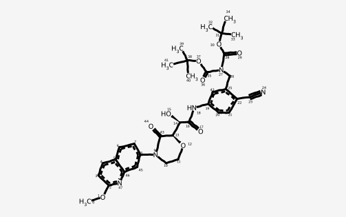 COc1ccc2ccc(N3CCO[C@H]([C@@H](O)C(=O)Nc4ccc(C#N)c(CN(C(=O)OC(C)(C)C)C(=O)OC(C)(C)C)c4)C3=O)cc2n1